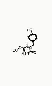 CNC(=O)[C@H](Cc1ccc(O)cc1)NC(=O)OC(C)(C)C